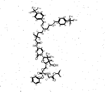 CC(C)OC(=O)[C@H](C)NP(=O)(OC[C@H]1O[C@@H](n2ccc(NC(=O)CC(C)(C)CC[C@H](CCSCc3ccc(C(F)(F)F)cc3)SCc3ccc(C(F)(F)F)cc3)nc2=O)C(F)(F)C1(C)CO)Oc1ccccc1